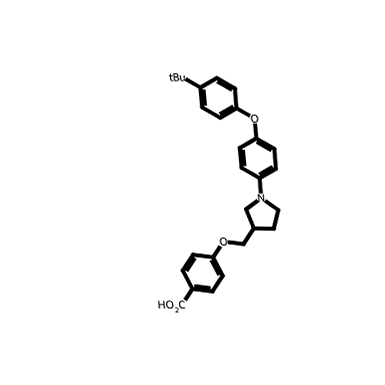 CC(C)(C)c1ccc(Oc2ccc(N3CCC(COc4ccc(C(=O)O)cc4)C3)cc2)cc1